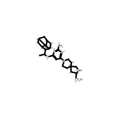 CC(Oc1cc(N2CCC3(CC2)CNC(C(=O)O)C3)nc(N)n1)C1C2CC3CC(C2)CC1C3